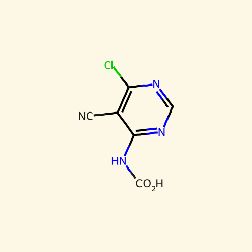 N#Cc1c(Cl)ncnc1NC(=O)O